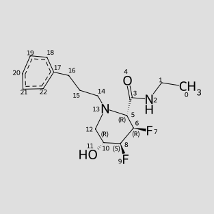 CCNC(=O)[C@@H]1[C@@H](F)[C@@H](F)[C@H](O)CN1CCCc1ccccc1